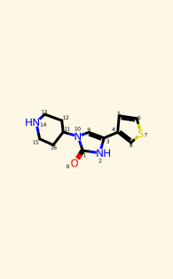 O=c1[nH]c(-c2ccsc2)cn1C1CCNCC1